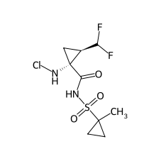 CC1(S(=O)(=O)NC(=O)[C@@]2(NCl)C[C@H]2C(F)F)CC1